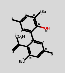 C=C(C(=O)O)c1c(-c2cc(C)cc(C(C)(C)C)c2O)cc(C)cc1C(C)(C)C